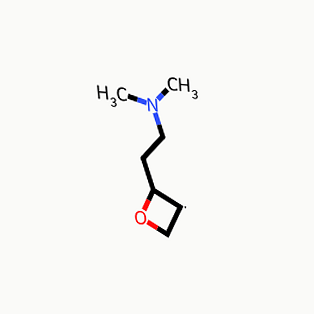 CN(C)CCC1[CH]CO1